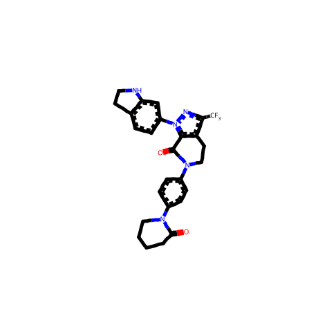 O=C1CCCCN1c1ccc(N2CCc3c(C(F)(F)F)nn(-c4ccc5c(c4)NCC5)c3C2=O)cc1